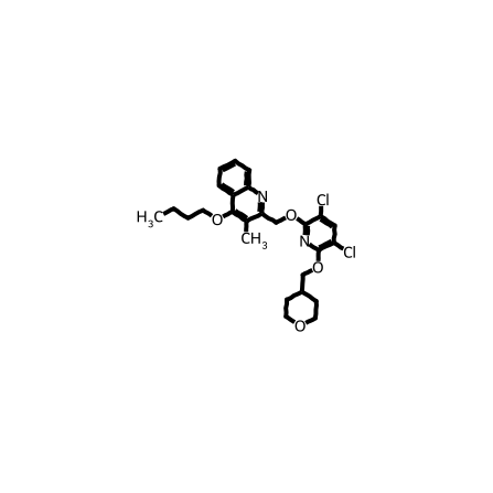 CCCCOc1c(C)c(COc2nc(OCC3CCOCC3)c(Cl)cc2Cl)nc2ccccc12